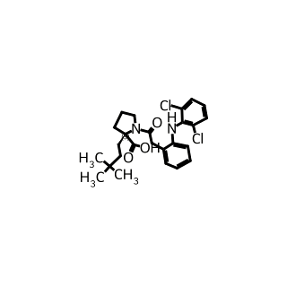 CC(C)(C)CC[C@@]1(C(=O)O)CCCN1C(=O)Cc1ccccc1Nc1c(Cl)cccc1Cl